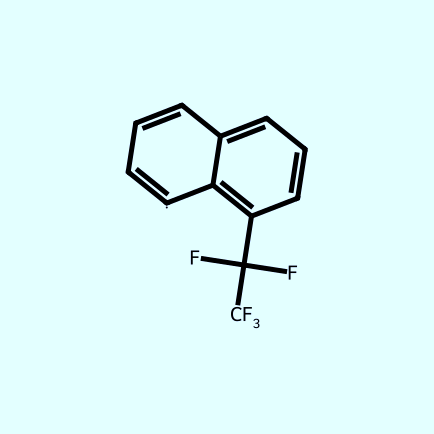 FC(F)(F)C(F)(F)c1cccc2ccc[c]c12